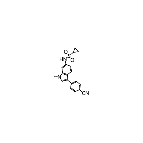 Cn1cc(-c2ccc(C#N)cc2)c2ccc(NS(=O)(=O)C3CC3)cc21